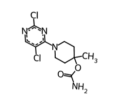 CC1(OC(N)=O)CCN(c2nc(Cl)ncc2Cl)CC1